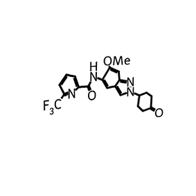 COc1cc2nn(C3CCC(=O)CC3)cc2cc1NC(=O)c1cccc(C(F)(F)F)n1